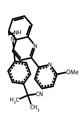 COc1cccc(C2=NC3=CC=CC4CNN(c5ccc(C(C)(C)C#N)cc5)C34C=C2)n1